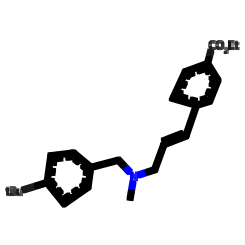 CCOC(=O)c1ccc(C=CCN(C)Cc2ccc(C(C)(C)C)cc2)cc1